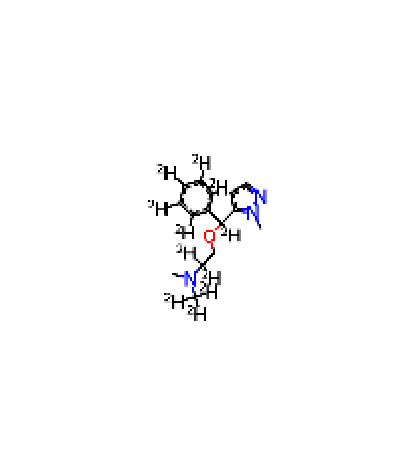 [2H]c1c([2H])c([2H])c(C([2H])(OCC([2H])([2H])N(C)C([2H])([2H])[2H])c2ccnn2C)c([2H])c1[2H]